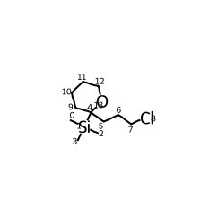 C[Si](C)(C)C1(CCCCl)CCCCO1